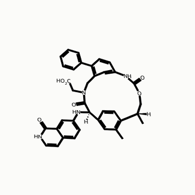 Cc1cc2ccc1[C@@H](C)COC(=O)Nc1ccc(-c3ccccc3)c(c1)CN(CC(=O)O)C(=O)[C@@H]2Nc1ccc2cc[nH]c(=O)c2c1